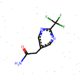 NC(=O)Cc1cnc(C(F)(F)F)nc1